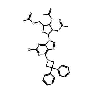 CC(=O)OCC1OC(n2cnc3c(N4CC(c5ccccc5)(c5ccccc5)C4)nc(Cl)nc32)C(OC(C)=O)C1OC(C)=O